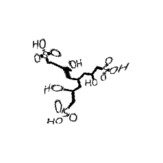 O=S(=O)(O)CC(O)C[C](CC(O)CS(=O)(=O)O)CC(O)CS(=O)(=O)O